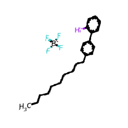 CCCCCCCCCCc1ccc(-c2ccccc2[IH+])cc1.F[B-](F)(F)F